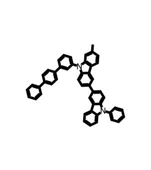 Cc1ccc2c3cc(-c4ccc5c(c4)c4ccccc4n5-c4ccccc4)ccc3n(-c3cccc(-c4ccc(-c5ccccc5)cc4)c3)c2c1